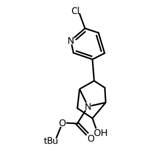 CC(C)(C)OC(=O)N1C2CC(c3ccc(Cl)nc3)C1CC2O